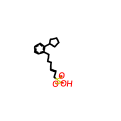 O=S(=O)(O)CC=CCCCc1ccccc1C1CCCC1